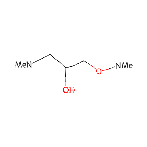 CNCC(O)CONC